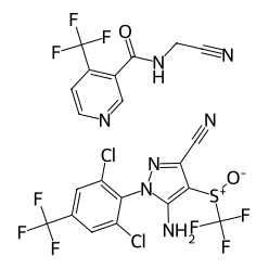 N#CCNC(=O)c1cnccc1C(F)(F)F.N#Cc1nn(-c2c(Cl)cc(C(F)(F)F)cc2Cl)c(N)c1[S+]([O-])C(F)(F)F